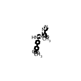 Cn1c(N2CCN[C@@H](c3ccc(-c4ccc(S(C)(=O)=O)cc4)cc3)C2)nc(-c2ccncn2)cc1=O